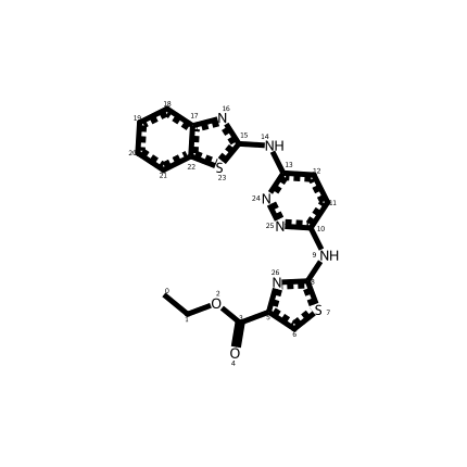 CCOC(=O)c1csc(Nc2ccc(Nc3nc4ccccc4s3)nn2)n1